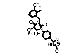 Cc1c(Cn2c(=O)c(OC(=O)O)cn(-c3ccc(-c4noc(=O)[nH]4)cc3)c2=O)cccc1C(F)(F)F